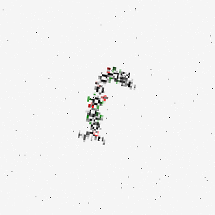 CCC(C)(CC)Oc1ccc(C(c2ccc(Oc3c(F)c(F)c(C(=O)c4ccc(Oc5ccc(C(=O)c6c(F)c(F)c(C(C)(CC)CC)c(F)c6F)cc5)cc4)c(F)c3F)cc2)(C(F)(F)F)C(F)(F)F)cc1